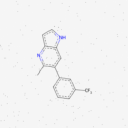 Cc1nc2cc[nH]c2cc1-c1cccc(C(F)(F)F)c1